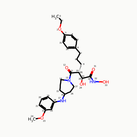 CCOc1ccc(CCC[C@@H](C(=O)N2CCC(Nc3cccc(OC)c3)CC2)[C@H](O)C(=O)NO)cc1